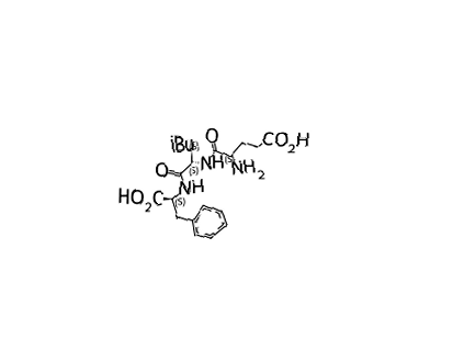 CC[C@H](C)[C@H](NC(=O)[C@@H](N)CCC(=O)O)C(=O)N[C@@H](Cc1ccccc1)C(=O)O